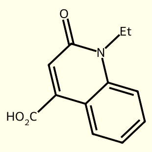 CCn1c(=O)cc(C(=O)O)c2ccccc21